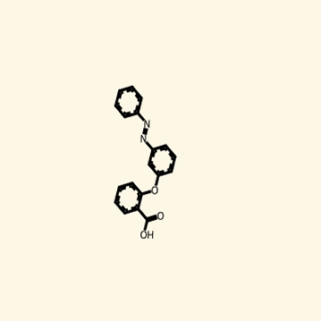 O=C(O)c1ccccc1Oc1cccc(N=Nc2ccccc2)c1